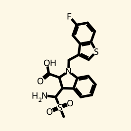 CS(=O)(=O)C(N)C1c2ccccc2N(Cc2csc3ccc(F)cc23)C1C(=O)O